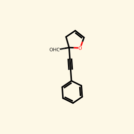 O=CC1(C#Cc2ccccc2)CC=CO1